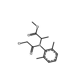 COC(=O)C(C)N(C(=O)CCl)c1c(C)cccc1C